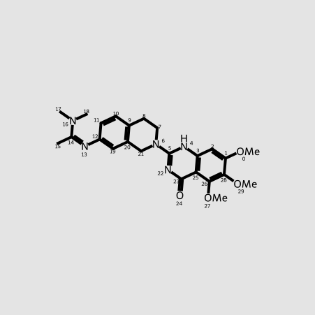 COc1cc2[nH]c(N3CCc4ccc(N=C(C)N(C)C)cc4C3)nc(=O)c2c(OC)c1OC